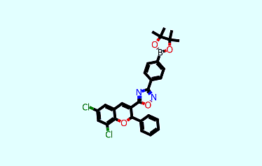 CC1(C)OB(c2ccc(-c3noc(C4=Cc5cc(Cl)cc(Cl)c5OC4c4ccccc4)n3)cc2)OC1(C)C